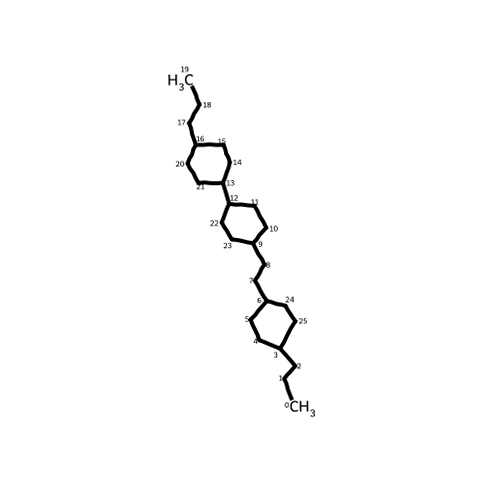 CCCC1CCC(CCC2CCC(C3CCC(CCC)CC3)CC2)CC1